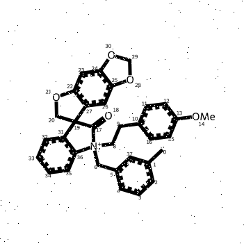 [CH]c1cccc(C[N+]2(CCc3ccc(OC)cc3)C(=O)C3(COc4cc5c(cc43)OCO5)c3ccccc32)c1